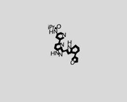 CC(C)C(=O)Nc1cncc(-c2ccc3[nH]nc(-c4cc5c(-c6ccoc6)cccc5[nH]4)c3n2)c1